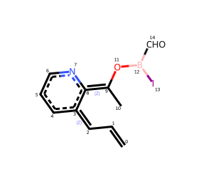 C=C/C=c1/cccn/c1=C(/C)OB(I)C=O